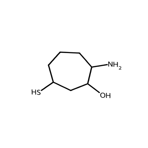 NC1CCCC(S)CC1O